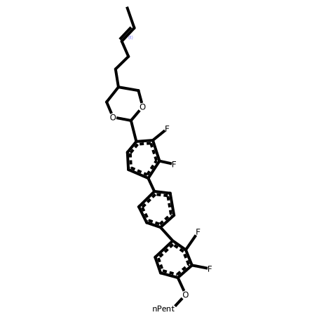 C/C=C/CCC1COC(c2ccc(-c3ccc(-c4ccc(OCCCCC)c(F)c4F)cc3)c(F)c2F)OC1